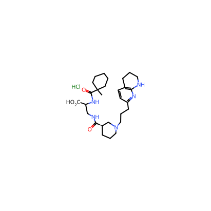 CC1(C(=O)NC(CNC(=O)[C@@H]2CCCN(CCCc3ccc4c(n3)NCCC4)C2)C(=O)O)CCCCC1.Cl